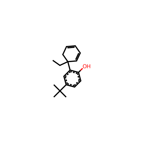 CCC1(c2cc(C(C)(C)C)ccc2O)C=CC=CC1